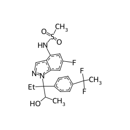 CCC(c1ccc(C(C)(F)F)cc1)(C(C)O)n1ncc2c(NS(C)(=O)=O)cc(F)cc21